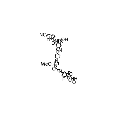 COC[C@@H]1CN(C2CCC(n3cc4cc(NC(=O)c5ccc6cc(C#N)cnn56)c(C(C)(C)O)cc4n3)CC2)CCN1C(=O)C1CN(c2cc(F)c(N3CCC(=O)NC3=O)c(F)c2)C1